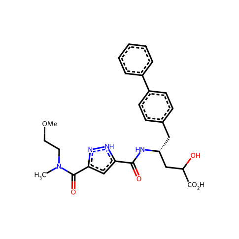 COCCN(C)C(=O)c1cc(C(=O)N[C@H](Cc2ccc(-c3ccccc3)cc2)CC(O)C(=O)O)[nH]n1